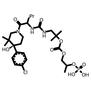 CC(COC(=O)OC(C)(C)CNC(=O)NC(C(=O)N1CC[C@](O)(c2ccc(Cl)cc2)C(C)(C)C1)C(C)C)OP(=O)(O)O